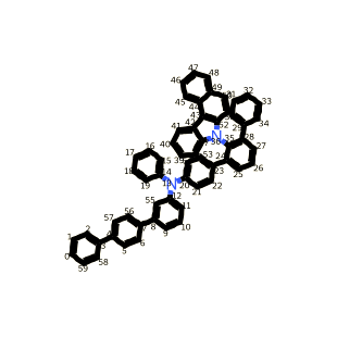 c1ccc(-c2ccc(-c3cccc(N(c4ccccc4)c4ccc(-c5cccc(-c6ccccc6)c5-n5c6ccccc6c6c7ccccc7ccc65)cc4)c3)cc2)cc1